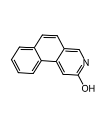 Oc1cc2c(ccc3ccccc32)cn1